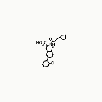 O=C(CCC1CCCC1)NC(=Cc1cc(-c2ccccc2Cl)ccc1F)C(=O)O